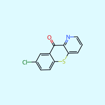 O=c1c2cc(Cl)ccc2sc2cccnc12